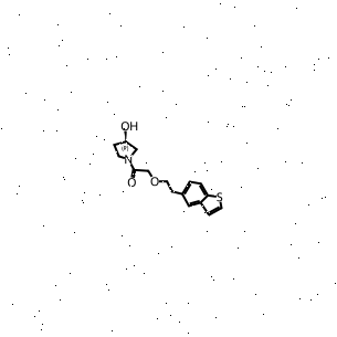 O=C(COCCc1ccc2sccc2c1)N1CC[C@@H](O)C1